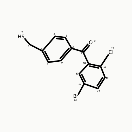 O=C(c1ccc(CS)cc1)c1cc(Br)ccc1Cl